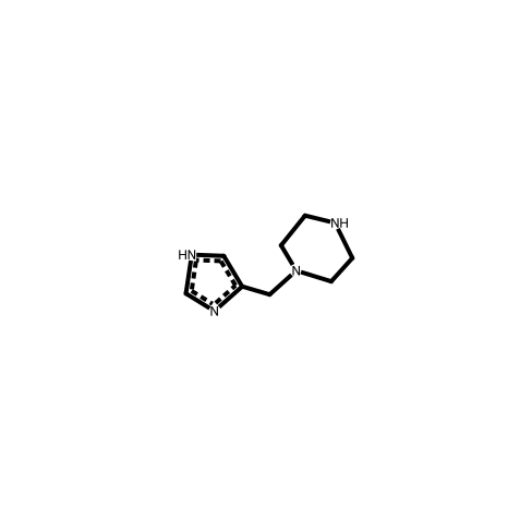 c1nc(CN2CCNCC2)c[nH]1